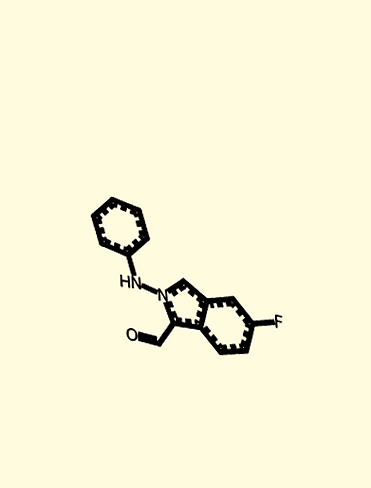 O=Cc1c2ccc(F)cc2cn1Nc1ccccc1